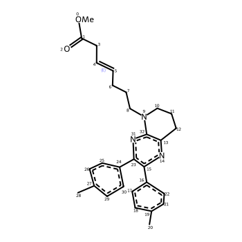 COC(=O)C/C=C/CCCN1CCCc2nc(-c3ccc(C)cc3)c(-c3ccc(C)cc3)nc21